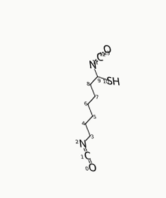 O=C=NCCCCCCC(S)N=C=O